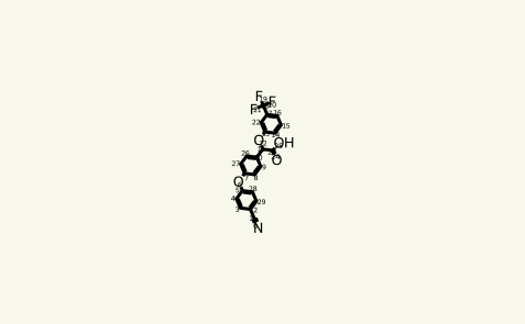 N#Cc1ccc(Oc2ccc(C(Oc3cccc(C(F)(F)F)c3)C(=O)O)cc2)cc1